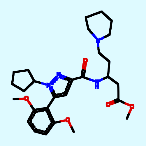 COC(=O)CC(CCN1CCCCC1)NC(=O)c1cc(-c2c(OC)cccc2OC)n(C2CCCC2)n1